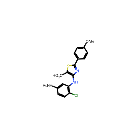 COc1ccc(-c2nc(Nc3cc(NC(C)=O)ccc3Cl)c(C(=O)O)s2)cc1